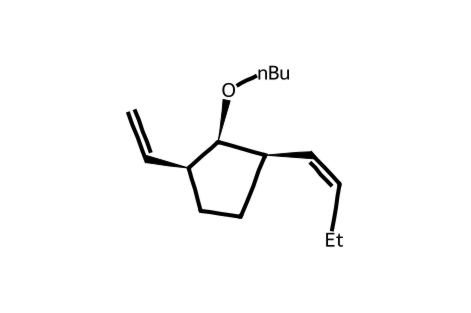 C=C[C@@H]1CC[C@H](/C=C\CC)[C@@H]1OCCCC